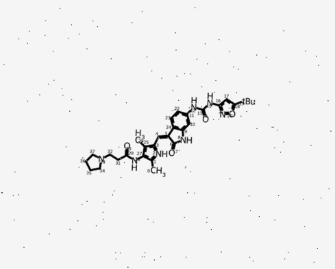 Cc1[nH]c(C=C2C(=O)Nc3cc(NC(=O)Nc4cc(C(C)(C)C)on4)ccc32)c(C)c1NC(=O)CCN1CCCC1